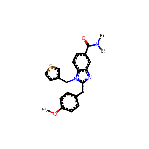 CCOc1ccc(Cc2nc3cc(C(=O)N(CC)CC)ccc3n2Cc2ccsc2)cc1